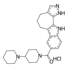 Cl.O=C(c1ccc2[nH]c3c(c2c1)CCCc1cn[nH]c1-3)N1CCC(N2CCCCC2)CC1